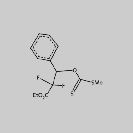 CCOC(=O)C(F)(F)C(OC(=S)SC)c1ccccc1